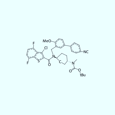 [C-]#[N+]c1ccc(-c2ccc(OC)c(CN(C(=O)c3sc4c(F)ccc(F)c4c3Cl)[C@H]3CC[C@H](N(C)C(=O)OC(C)(C)C)CC3)c2)cc1